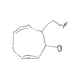 FCC1C=CCC=CC1Cl